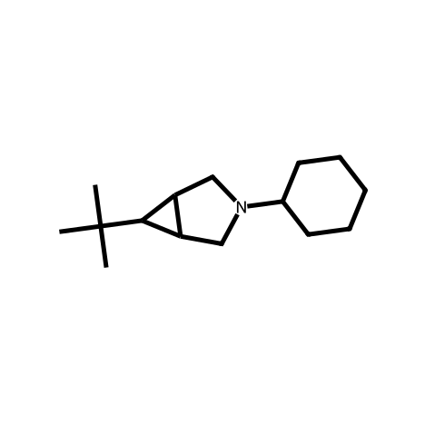 CC(C)(C)C1C2CN(C3CCCCC3)CC21